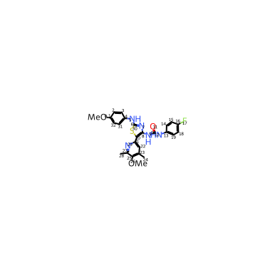 COc1ccc(Nc2nc(NC(=O)Nc3ccc(F)cc3)c(-c3cc(C)c(OC)c(C)n3)s2)cc1